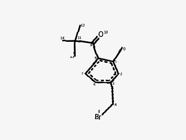 Cc1cc(CBr)ccc1C(=O)C(C)(C)C